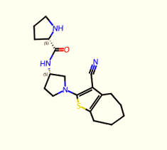 N#Cc1c(N2CC[C@H](NC(=O)[C@@H]3CCCN3)C2)sc2c1CCCCC2